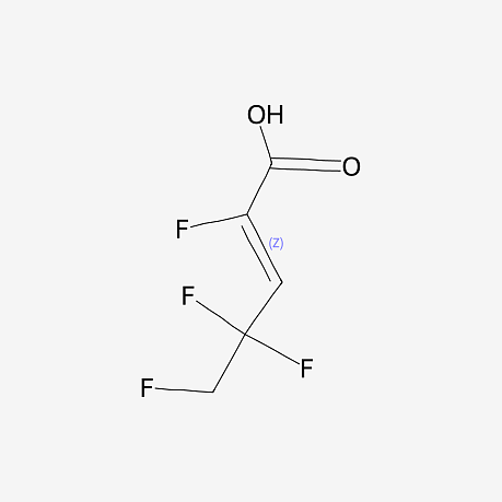 O=C(O)/C(F)=C/C(F)(F)CF